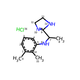 Cc1cccc(NC(C)C2=NCCN2)c1C.Cl